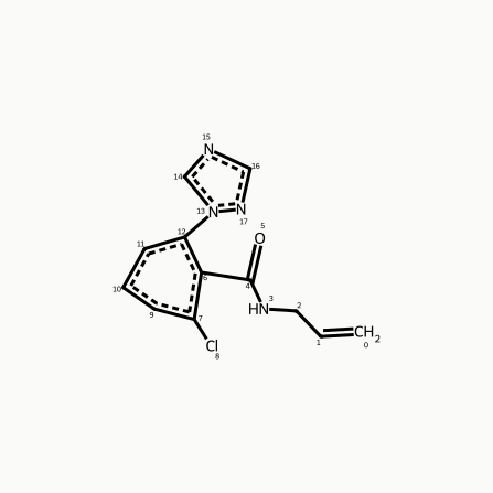 C=CCNC(=O)c1c(Cl)cccc1-n1cncn1